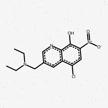 CCN(CC)Cc1cnc2c(O)c([N+](=O)[O-])cc(Cl)c2c1